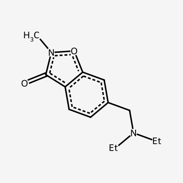 CCN(CC)Cc1ccc2c(=O)n(C)oc2c1